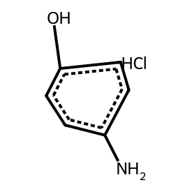 Cl.Nc1ccc(O)cc1